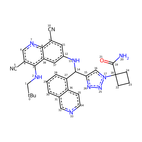 CC(C)(C)CNc1c(C#N)cnc2c(C#N)cc(NC(c3cn(C4(C(N)=O)CCC4)nn3)c3cccc4cnccc34)cc12